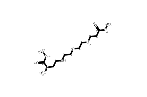 CN(CCNCCOCCOCCC(=O)OC(C)(C)C)C(=O)OC(C)(C)C